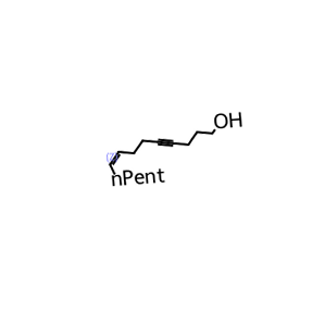 CCCCC/C=C\CCC#CCCCO